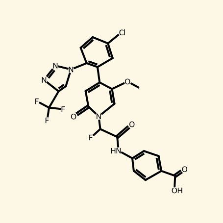 COc1cn(C(F)C(=O)Nc2ccc(C(=O)O)cc2)c(=O)cc1-c1cc(Cl)ccc1-n1cc(C(F)(F)F)nn1